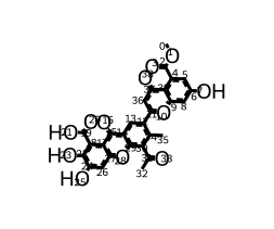 COC(=O)c1cc(O)cc2oc(-c3cc4c(=O)c5c(C(=O)O)c(O)c(O)cc5oc4c(C(C)=O)c3C)cc(=O)c12